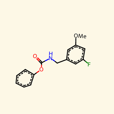 COc1cc(F)cc(CNC(=O)Oc2ccccc2)c1